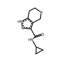 O=C(NC1CC1)c1n[nH]c2c1C[N]CC2